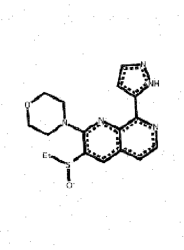 CC[S+]([O-])c1cc2ccnc(-c3ccn[nH]3)c2nc1N1CCOCC1